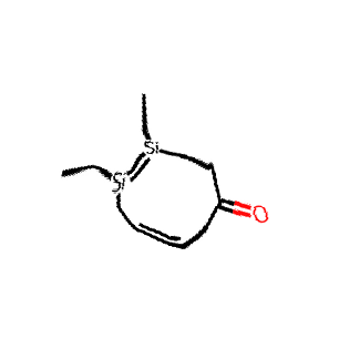 C[Si]1=[Si](C)CC(=O)C=C1